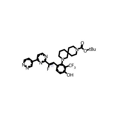 CC(C)(C)OC(=O)N1CCC2(CCCN(c3c(/C=C(\F)c4nccc(-c5ccnnc5)n4)ccc(O)c3C(F)(F)F)C2)CC1